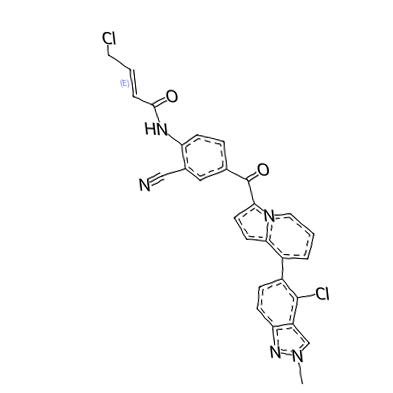 Cn1cc2c(Cl)c(-c3cccn4c(C(=O)c5ccc(NC(=O)/C=C/CCl)c(C#N)c5)ccc34)ccc2n1